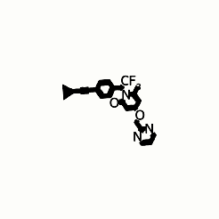 Cc1cc(OCc2ncccn2)cc(=O)n1C(c1ccc(C#CC2CC2)cc1)C(F)(F)F